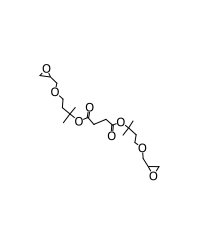 CC(C)(CCOCC1CO1)OC(=O)CCC(=O)OC(C)(C)CCOCC1CO1